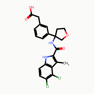 Cc1c(C(=O)NC2(c3cccc(CC(=O)O)c3)CCOC2)[nH]c2ccc(Cl)c(Cl)c12